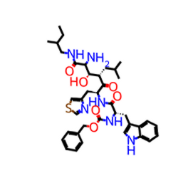 CCC(C)CNC(=O)C(N)[C@@H](O)[C@H](CC(C)C)C(=O)[C@H](Cc1cscn1)NC(=O)[C@H](Cc1c[nH]c2ccccc12)NC(=O)OCc1ccccc1